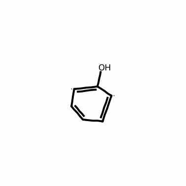 Oc1[c]ccc[c]1